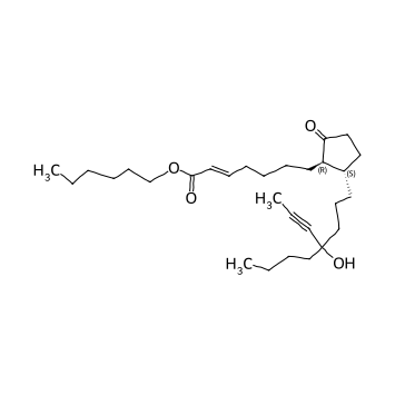 CC#CC(O)(CCCC)CCC[C@H]1CCC(=O)[C@@H]1CCCCC=CC(=O)OCCCCCC